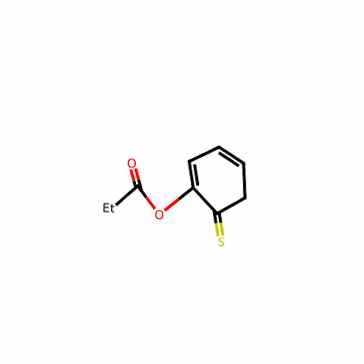 CCC(=O)OC1=CC=CCC1=S